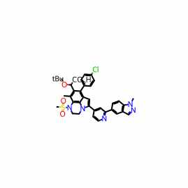 Cc1c(C(OC(C)(C)C)C(=O)O)c(-c2ccc(Cl)cc2)c2cc(-c3ccnc(-c4ccc5c(cnn5C)c4)c3)n3c2c1N(S(C)(=O)=O)CC3